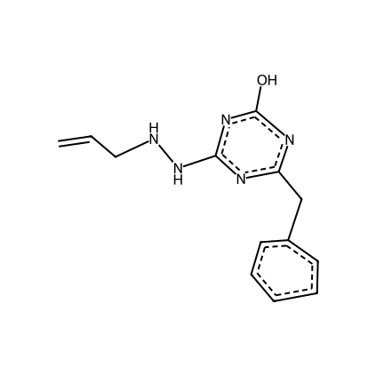 C=CCNNc1nc(O)nc(Cc2ccccc2)n1